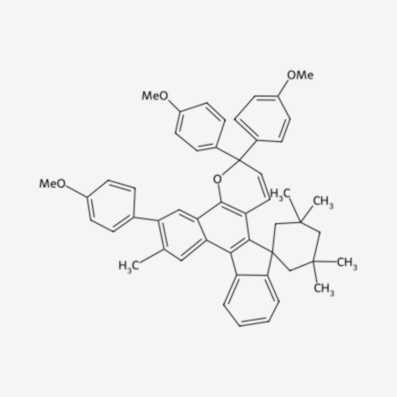 COc1ccc(-c2cc3c4c(c5c(c3cc2C)-c2ccccc2C52CC(C)(C)CC(C)(C)C2)C=CC(c2ccc(OC)cc2)(c2ccc(OC)cc2)O4)cc1